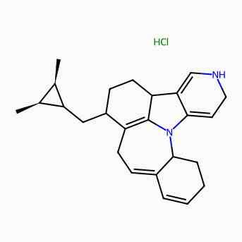 C[C@@H]1C(CC2CCC3C4=CNCC=C4N4C3=C2CC=C2C=CCCC24)[C@@H]1C.Cl